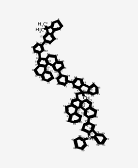 CC1(C)c2ccccc2-c2ccc(-c3cccc(-c4cc5ccc6ccccc6c5c5c4ccc4ccc(-c6cccc(-c7ccc8c(c7)C(C)(Cc7cc9ccc%10ccccc%10c9c9c7ccc7ccc(-c%10ccc%11c(c%10)c%10ccccc%10n%11-c%10ccccc%10)cc79)c7ccccc7-8)c6)cc45)c3)cc21